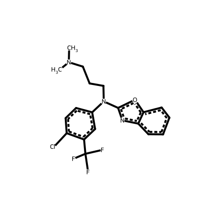 CN(C)CCCN(c1ccc(Cl)c(C(F)(F)F)c1)c1nc2ccccc2o1